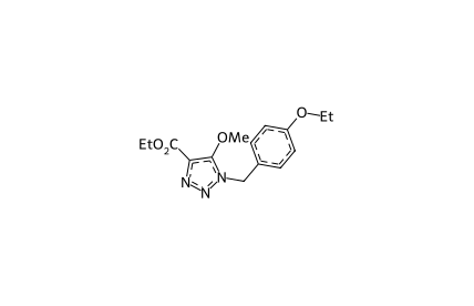 CCOC(=O)c1nnn(Cc2ccc(OCC)cc2)c1OC